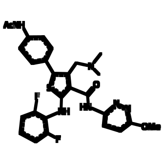 COc1ccc(NC(=O)c2c(Nc3c(F)cccc3F)sc(-c3ccc(NC(C)=O)cc3)c2CN(C)C)nn1